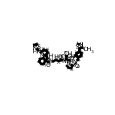 Cc1ncsc1-c1ccc(CNC(=O)[C@@H]2CCCN2C(=O)[C@@H](NC(=O)CCCNC(=O)C2(Cc3cccc(Nc4nccs4)n3)CCCCC2)C(C)(C)C)cc1